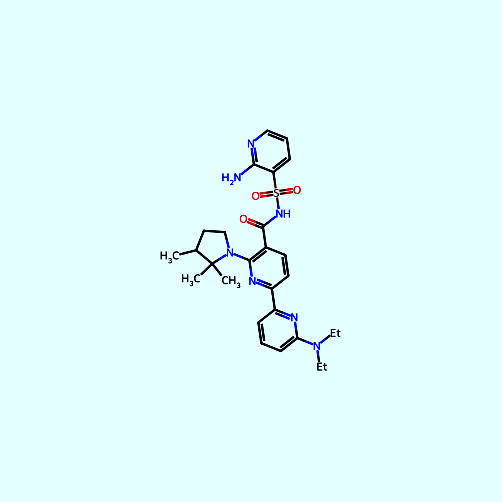 CCN(CC)c1cccc(-c2ccc(C(=O)NS(=O)(=O)c3cccnc3N)c(N3CCC(C)C3(C)C)n2)n1